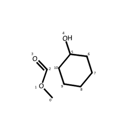 COC=O.OC1CCCCC1